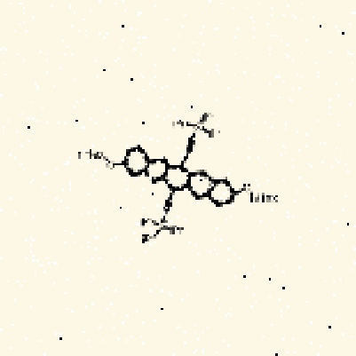 CCCCCCOc1ccc2cc3c(C#C[Si](C(C)C)(C(C)C)C(C)C)c4cc5cc(OCCCCCC)ccc5cc4c(C#C[Si](C(C)C)(C(C)C)C(C)C)c3cc2c1